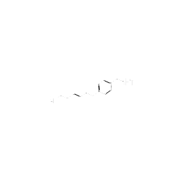 CC(C)Cc1ccc(CCC=CCCBr)cc1